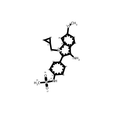 COc1ccc2c(N)c(-c3ccc(NS(C)(=O)=O)cc3)n(CC3CC3)c2c1